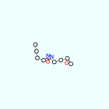 c1ccc(-c2ccc(-c3cccc(-c4ccc5oc6c(-c7cccc(-c8ccc(-c9cccc%10c9oc9ccccc9%10)cc8)c7)ncnc6c5c4)c3)cc2)cc1